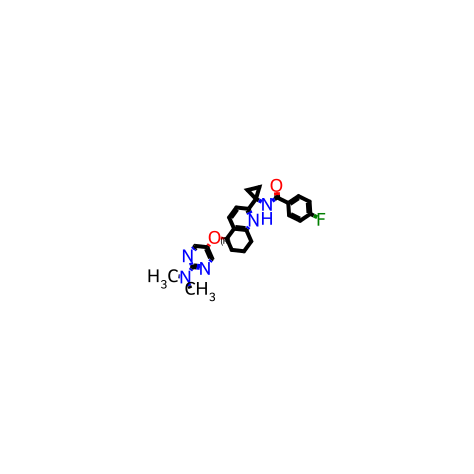 CN(C)c1ncc(O[C@@H]2CCCc3nc(C4(NC(=O)c5ccc(F)cc5)CC4)ccc32)cn1